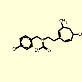 CCC(=O)N(CCC1=CC(C)CC(C)C=C1)Cc1ccc(Cl)cc1